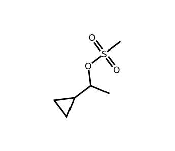 CC(OS(C)(=O)=O)C1CC1